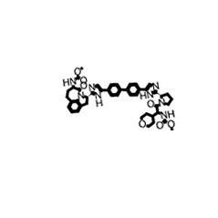 COC(=O)NC1CCc2cccc3c2N(C1=O)[C@H](c1ncc(-c2ccc(-c4ccc(-c5cnc([C@@H]6CCCN6C(=O)C(NC(=O)OC)C6CCOCC6)[nH]5)cc4)cc2)[nH]1)C3